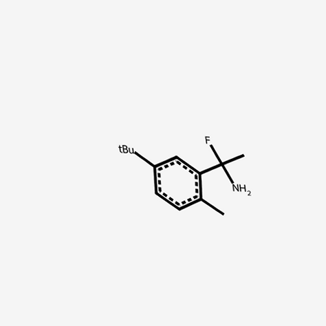 Cc1ccc(C(C)(C)C)cc1C(C)(N)F